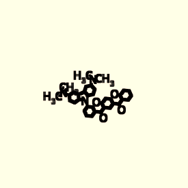 CN(C)c1ccc2c(c1)c1cc(N(C)C)ccc1n2-c1cccc2c(=O)c3cc4c(=O)c5ccccc5oc4cc3oc12